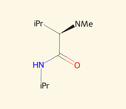 CN[C@@H](C(=O)NC(C)C)C(C)C